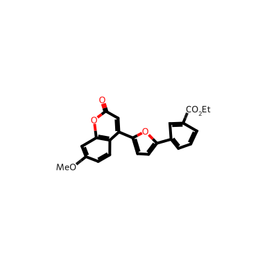 CCOC(=O)c1cccc(-c2ccc(-c3cc(=O)oc4cc(OC)ccc34)o2)c1